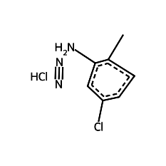 Cc1ccc(Cl)cc1N.Cl.N#N